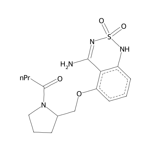 CCCC(=O)N1CCCC1COc1cccc2c1C(N)=NS(=O)(=O)N2